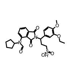 CCOc1cc(C(CC[SH](=O)=O)N2C(=O)c3cccc(N(C=O)C4CCCC4)c3C2=O)ccc1OC